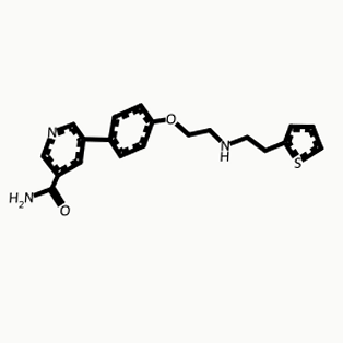 NC(=O)c1cncc(-c2ccc(OCCNCCc3cccs3)cc2)c1